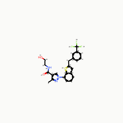 Cc1nn(-c2cccc3cc(Cc4cccc(C(F)(F)F)c4)sc23)cc1C(=O)NCCO